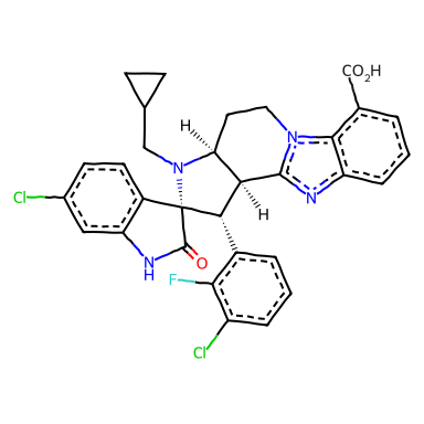 O=C(O)c1cccc2nc3n(c12)CC[C@H]1[C@@H]3[C@H](c2cccc(Cl)c2F)[C@]2(C(=O)Nc3cc(Cl)ccc32)N1CC1CC1